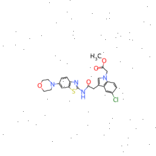 COC(=O)Cn1cc(CC(=O)Nc2nc3ccc(N4CCOCC4)cc3s2)c2cc(Cl)ccc21